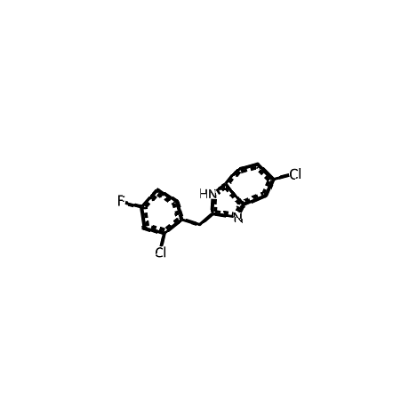 Fc1ccc(Cc2nc3cc(Cl)ccc3[nH]2)c(Cl)c1